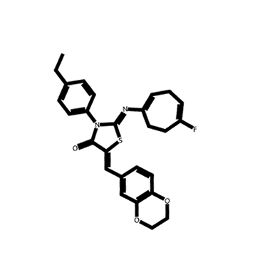 CCc1ccc(N2C(=O)/C(=C/c3ccc4c(c3)OCCO4)S/C2=N\C2=CCC=C(F)CC2)cc1